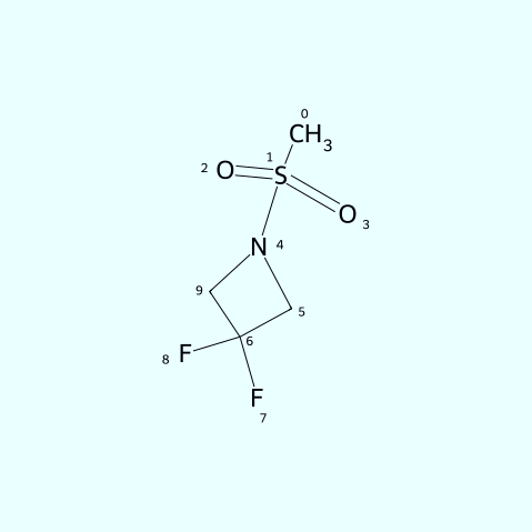 CS(=O)(=O)N1CC(F)(F)C1